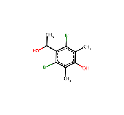 Cc1c(O)c(C)c(Br)c(C(C)O)c1Br